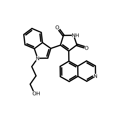 O=C1NC(=O)C(c2cn(CCCO)c3ccccc23)=C1c1cccc2cnccc12